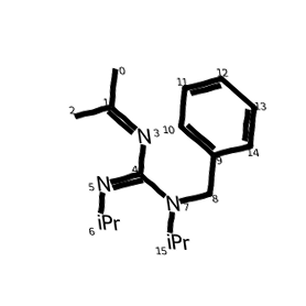 CC(C)=N/C(=N/C(C)C)N(Cc1ccccc1)C(C)C